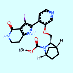 CC(C)(C)OC(=O)N1[C@H]2CC[C@H](C2)[C@@H]1COc1cnccc1-c1[nH]c2c(c1I)C(=O)NCC2